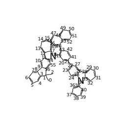 CC1(C)c2ccccc2-c2cc3c4ccccc4n(-c4cc(-c5ccc6c(c5)c5ccccc5n6-c5ccccc5)ccc4-c4cccc5ccccc45)c3cc21